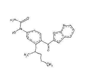 CCCC(C)c1cc(N(S)C(N)=O)ccc1C(=O)c1cc2cccnc2o1